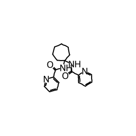 O=C(NC1(NC(=O)c2ccccn2)CCCCCC1)c1ccccn1